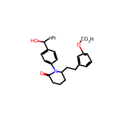 CCCC(O)c1ccc(N2C(=O)CCCC2CCc2cccc(OC(=O)O)c2)cc1